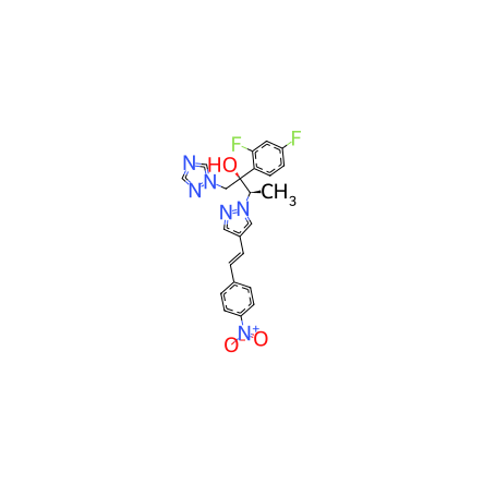 C[C@@H](n1cc(/C=C/c2ccc([N+](=O)[O-])cc2)cn1)[C@](O)(Cn1cncn1)c1ccc(F)cc1F